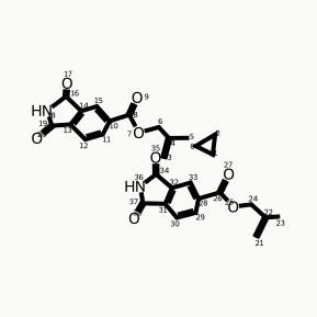 C1CC1.C=C(C)COC(=O)c1ccc2c(c1)C(=O)NC2=O.C=C(C)COC(=O)c1ccc2c(c1)C(=O)NC2=O